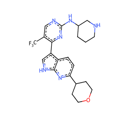 FC(F)(F)c1cnc(NC2CCCNC2)nc1-c1c[nH]c2nc(C3CCOCC3)ccc12